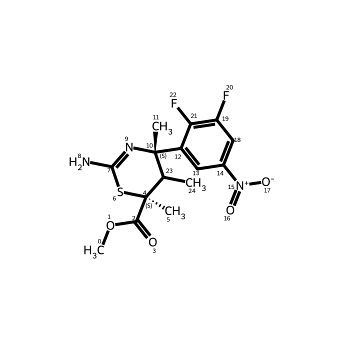 COC(=O)[C@@]1(C)SC(N)=N[C@](C)(c2cc([N+](=O)[O-])cc(F)c2F)C1C